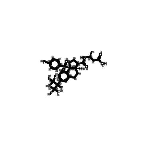 C[C@@H](CC(=O)O)NC(=O)[C@@H]1CC[C@@]2(S(=O)(=O)c3ccc(F)cc3)c3ccc(C(F)(C(F)(F)F)C(F)(F)F)cc3CC[C@@H]12